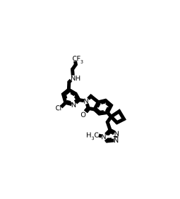 Cn1cnnc1CC1(c2ccc3c(c2)C(=O)N(c2cc(CNCCC(F)(F)F)cc(Cl)n2)C3)CCC1